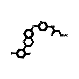 CC(=O)NCC(=O)Nc1ccc(Oc2ccc3c(c2)CCC(c2cc(F)ccc2F)O3)nc1